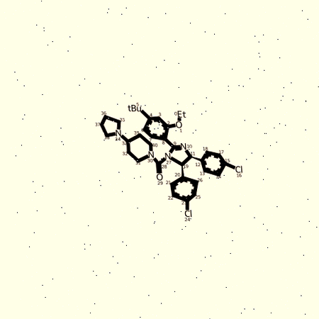 CCOc1cc(C(C)(C)C)ccc1C1=N[C@@H](c2ccc(Cl)cc2)[C@@H](c2ccc(Cl)cc2)N1C(=O)N1CCC(N2CCCC2)CC1